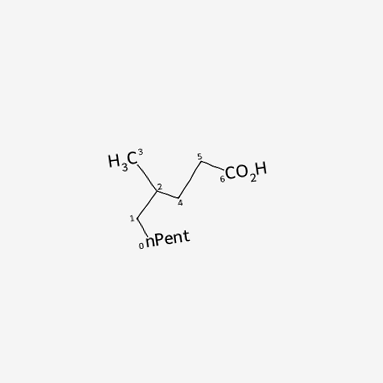 CCCCCCC(C)CCC(=O)O